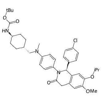 COc1cc2c(cc1OC(C)C)[C@H](c1ccc(Cl)cc1)N(c1ccc(N(C)C[C@H]3CC[C@H](NC(=O)OC(C)(C)C)CC3)cc1)C(=O)C2